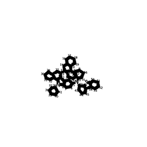 c1ccc(N(c2ccc3c(c2)c2c(-c4cc5ccccc5c5ccccc45)cc4ccccc4c2n3-c2ccccc2)c2cccc3c2sc2ccccc23)cc1